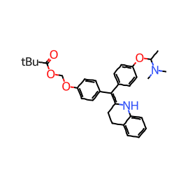 CC(Oc1ccc(C(=C2CCc3ccccc3N2)c2ccc(OCOC(=O)C(C)(C)C)cc2)cc1)N(C)C